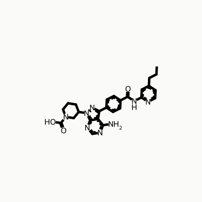 CCCc1ccnc(NC(=O)c2ccc(-c3nn(C4CCCN(C(=O)O)C4)c4ncnc(N)c34)cc2)c1